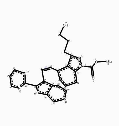 CC(C)(C)OC(=O)n1nc(CCCO)c2c(/C=C\c3c(-c4ncccn4)oc4cnccc34)cccc21